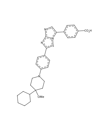 COC1(C2CCCCC2)CCN(c2ccc(-c3nc4ncc(-c5ccc(C(=O)O)cc5)n4s3)cc2)CC1